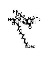 CCCCCCCCCCCCCCCCOCCCOP(=O)(O)COC(COCC)Cn1cnc2c(=O)[nH]c(N)nc21